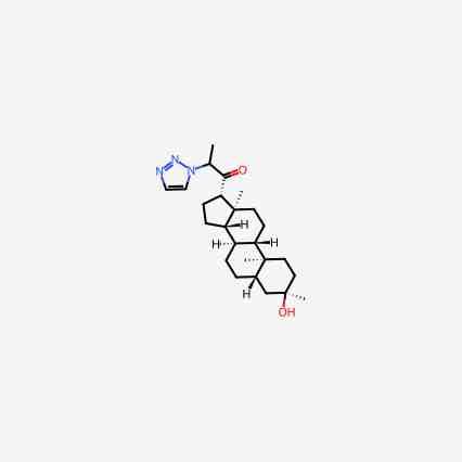 CC(C(=O)[C@H]1CC[C@H]2[C@@H]3CC[C@H]4C[C@](C)(O)CC[C@]4(C)[C@H]3CC[C@]12C)n1ccnn1